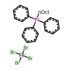 CCCCCCCC[P+](c1ccccc1)(c1ccccc1)c1ccccc1.[Br][Fe-]([Br])([Br])[Br]